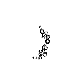 C[C@@H]1CN(C(=O)[C@H]2CCCN2C(=O)OC(C)(C)C)CCN1c1ccc2ncn([C@H](C)c3ccc(Cl)cc3Cl)c2c1